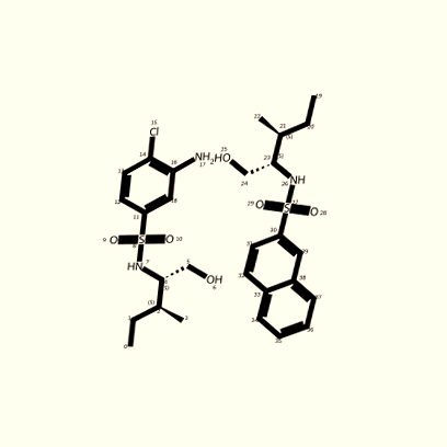 CC[C@H](C)[C@@H](CO)NS(=O)(=O)c1ccc(Cl)c(N)c1.CC[C@H](C)[C@@H](CO)NS(=O)(=O)c1ccc2ccccc2c1